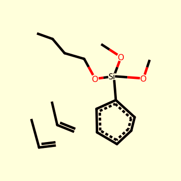 C=CC.C=CC.CCCCO[Si](OC)(OC)c1ccccc1